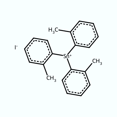 Cc1cccc[c]1[Sn+]([c]1ccccc1C)[c]1ccccc1C.[I-]